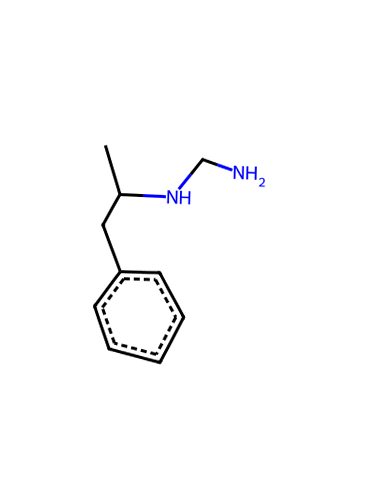 CC(Cc1ccccc1)NCN